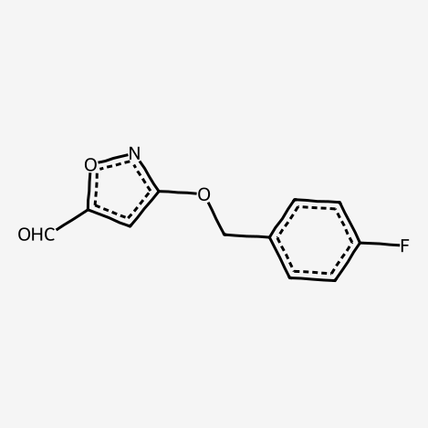 O=Cc1cc(OCc2ccc(F)cc2)no1